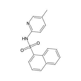 Cc1ccc(NS(=O)(=O)c2cccc3ccccc23)nc1